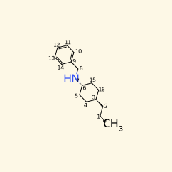 CCC[C@H]1CC[C@H](NCc2ccccc2)CC1